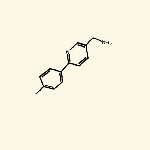 Cc1ccc(-c2ccc(CN)cn2)cc1